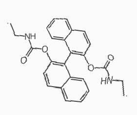 [CH2]CNC(=O)Oc1ccc2ccccc2c1-c1c(OC(=O)NC[CH2])ccc2ccccc12